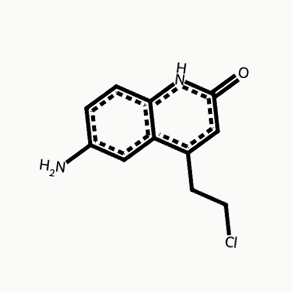 Nc1ccc2[nH]c(=O)cc(CCCl)c2c1